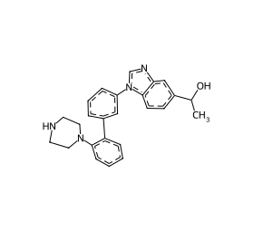 CC(O)c1ccc2c(c1)ncn2-c1cccc(-c2ccccc2N2CCNCC2)c1